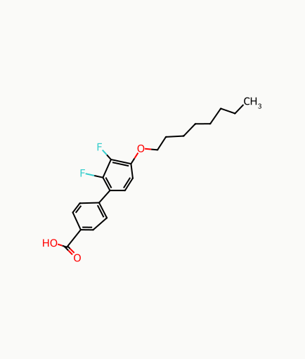 CCCCCCCCOc1ccc(-c2ccc(C(=O)O)cc2)c(F)c1F